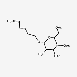 C=CCCCCO[C@@H]1OC(COC(C)=O)C(OC(C)=O)C(OC(C)=O)C1C